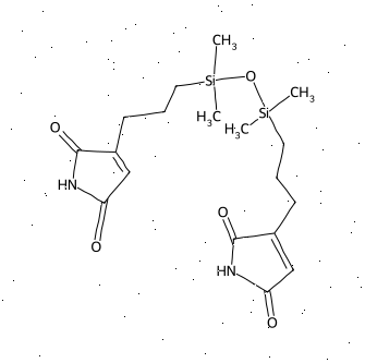 C[Si](C)(CCCC1=CC(=O)NC1=O)O[Si](C)(C)CCCC1=CC(=O)NC1=O